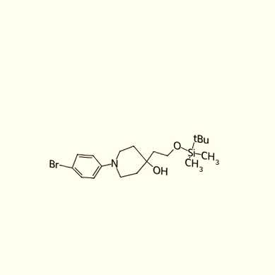 CC(C)(C)[Si](C)(C)OCCC1(O)CCN(c2ccc(Br)cc2)CC1